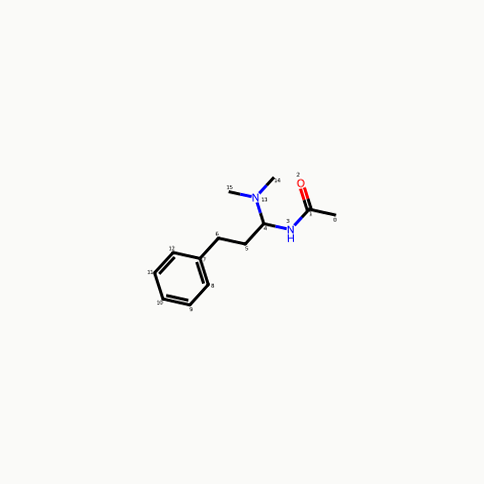 CC(=O)NC(CCc1ccccc1)N(C)C